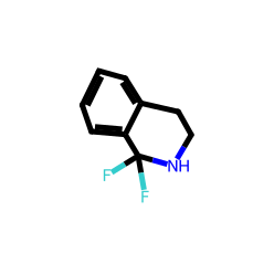 FC1(F)NCCc2ccccc21